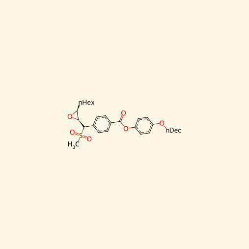 CCCCCCCCCCOc1ccc(OC(=O)c2ccc(C([C@H]3O[C@H]3CCCCCC)S(C)(=O)=O)cc2)cc1